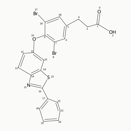 O=C(O)CCc1cc(Br)c(Oc2ccc3nc(-c4ccccc4)sc3c2)c(Br)c1